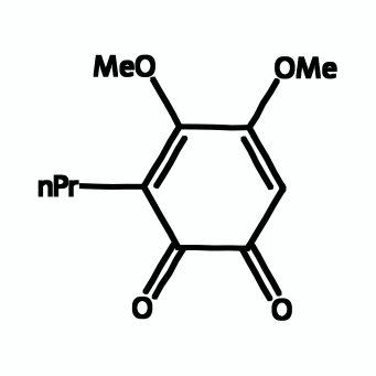 CCCC1=C(OC)C(OC)=CC(=O)C1=O